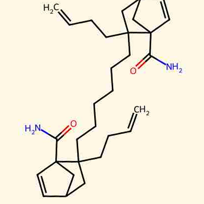 C=CCCC1(CCCCCCC2(CCC=C)CC3C=CC2(C(N)=O)C3)CC2C=CC1(C(N)=O)C2